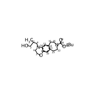 C[C@@H](CO)CN1CCOc2cc3c(cc21)CCN(C(=O)OC(C)(C)C)CC3